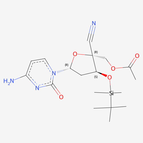 CC(=O)OC[C@@]1(C#N)O[C@@H](n2ccc(N)nc2=O)C[C@@H]1O[Si](C)(C)C(C)(C)C